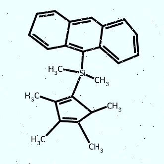 CC1=C(C)C(C)C([Si](C)(C)c2c3ccccc3cc3ccccc23)=C1C